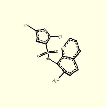 Cc1ccc2cccnc2c1NS(=O)(=O)c1cc(Cl)sc1Cl